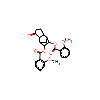 COc1ccccc1C(=O)OC1C2CC(C1OC(=O)c1ccccc1OC)C1C(=O)CCC21